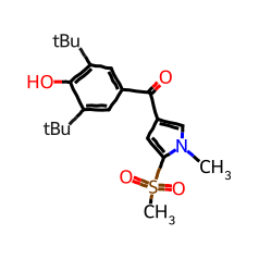 Cn1cc(C(=O)c2cc(C(C)(C)C)c(O)c(C(C)(C)C)c2)cc1S(C)(=O)=O